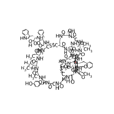 CC[C@H](C)[C@@H]1NC(=O)[C@H](C)NC(=O)[C@H](Cc2ccc(O)cc2)NC(=O)CNC(=O)[C@@H]2CSSC[C@@H]3NC(=O)C[C@H](NC(=O)[C@H](CC(N)=O)NC(=O)C(CSSC[C@@H](C(=O)N[C@@H](Cc4ccccc4)C(=O)N[C@@H](Cc4c[nH]c5ccccc45)C(=O)O)NC(=O)[C@H](C(C)C)NC1=O)NC(=O)[C@H](CO)NC(=O)CNC(=O)[C@H](C(C)C)NC(=O)CNC(=O)[C@H](CC(C)C)NC3=O)C(=O)N[C@@H](Cc1ccccc1)C(=O)N[C@@H](C)C(=O)NCC(=O)N2